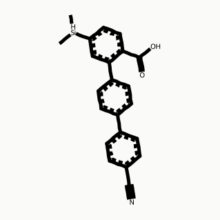 C[SiH](C)c1ccc(C(=O)O)c(-c2ccc(-c3ccc(C#N)cc3)cc2)c1